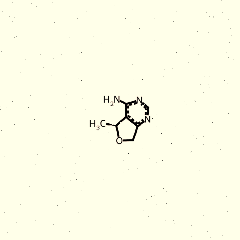 C[C@@H]1OCc2ncnc(N)c21